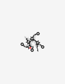 [3H]CC1OC(OC2C(OCC3OC(OCCCC=C)C(OCc4ccccc4)C(C)C3C)OC(COCc3ccccc3)C(C)C2C)C(OC2OC(COCc3ccccc3)C(C)C(C)C2OCc2ccccc2)C(C)C1C